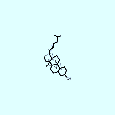 CC(C)C/C=C/[C@@H](C)[C@H]1CC[C@H]2[C@@H]3CCC4CC(O)CC[C@]4(C)[C@H]3CC[C@]12C